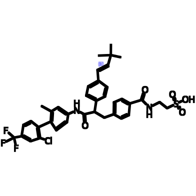 Cc1cc(NC(=O)C(Cc2ccc(C(=O)NCCS(=O)(=O)O)cc2)c2ccc(/C=C/C(C)(C)C)cc2)ccc1-c1ccc(C(F)(F)F)cc1Cl